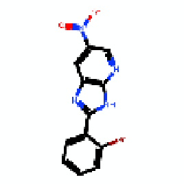 O=[N+]([O-])c1cnc2[nH]c(-c3ccccc3Br)nc2c1